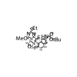 CCSc1nc(OC)c2c3c(c(-c4c(F)ccc5sc(NC(=O)OC(C)(C)C)cc45)c(F)c2n1)COC3